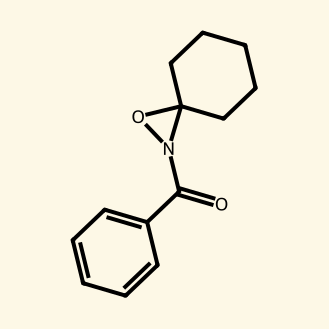 O=C(c1ccccc1)N1OC12CCCCC2